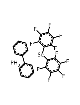 Fc1c(F)c(F)c([Se]c2c(F)c(F)c(F)c(F)c2F)c(F)c1F.P.c1ccc(-c2ccccc2)cc1